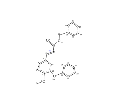 COc1ccc(/C=C/C(=O)OCc2ccccc2)cc1Oc1ccccc1